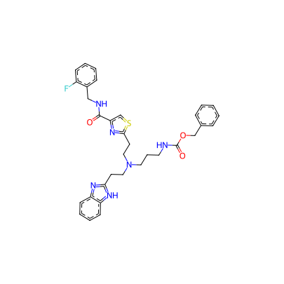 O=C(NCCCN(CCc1nc2ccccc2[nH]1)CCc1nc(C(=O)NCc2ccccc2F)cs1)OCc1ccccc1